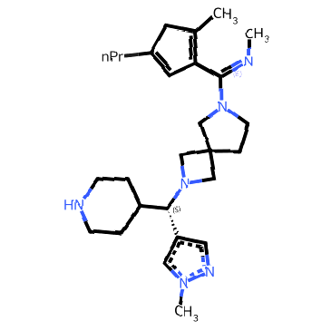 CCCC1=CC(/C(=N\C)N2CCC3(C2)CN([C@H](c2cnn(C)c2)C2CCNCC2)C3)=C(C)C1